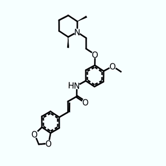 COc1ccc(NC(=O)/C=C/c2ccc3c(c2)OCO3)cc1OCCN1[C@H](C)CCC[C@@H]1C